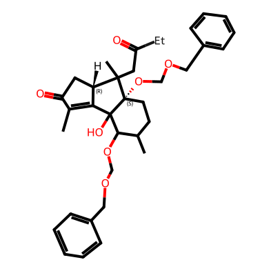 CCC(=O)CC1(C)[C@H]2CC(=O)C(C)=C2C2(O)C(OCOCc3ccccc3)C(C)CC[C@@]21OCOCc1ccccc1